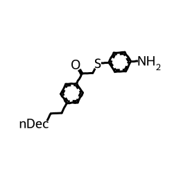 CCCCCCCCCCCCc1ccc(C(=O)CSc2ccc(N)cc2)cc1